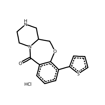 Cl.O=C1c2cccc(-c3cccs3)c2OCC2CNCCN12